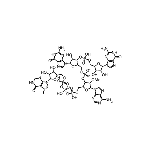 COC1C(OP([O-])(=S)OCC2OC(n3cnc4c(=O)[nH]c(N)nc43)C(O)C2OP(=O)(O)OCC2OC(n3cnc4c(=O)[nH]c(N)nc43)C(O)C2O)C(COP(=O)(O)OP(=O)(O)OP(=O)(O)OCC2OC(n3c[n+](C)c4c(=O)[nH]cnc43)C(O)C2O)OC1n1cnc2c(N)ncnc21